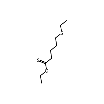 CCOC(=S)CCCCSCC